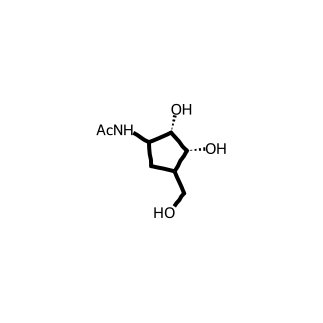 CC(=O)NC1CC(CO)[C@@H](O)[C@H]1O